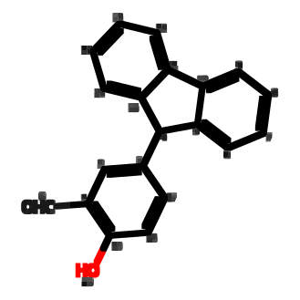 O=Cc1cc(C2c3ccccc3-c3ccccc32)ccc1O